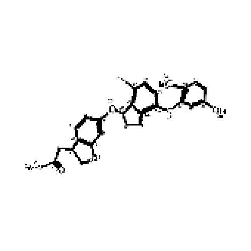 COC(=O)CC1COc2cc(O[C@@H]3CCc4c(Oc5cc(O)ccc5C#N)ccc(F)c43)ccc21